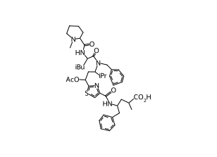 CCC(C)C(NC(=O)C1CCCCN1C)C(=O)N(Cc1ccccc1)C(CC(OC(C)=O)c1nc(C(=O)NC(Cc2ccccc2)CC(C)C(=O)O)cs1)C(C)C